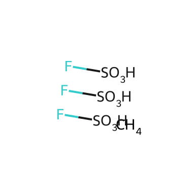 C.O=S(=O)(O)F.O=S(=O)(O)F.O=S(=O)(O)F